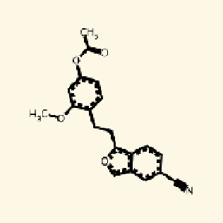 COc1cc(OC(C)=O)ccc1CCc1occ2cc(C#N)ccc12